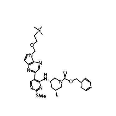 CSc1ncc(-c2cnc3c(ccn3COCC[Si](C)(C)C)n2)c(N[C@H]2C[C@H](C)CN(C(=O)OCc3ccccc3)C2)n1